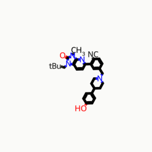 Cn1c(=O)n(CC(C)(C)C)c2ccc(-c3cc(CN4CCC(c5ccc(O)cc5)CC4)ccc3C#N)nc21